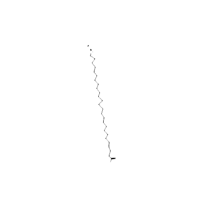 O=C=NCCCCCCCCCCCCCCCCCCCCCCCCCC(=O)O